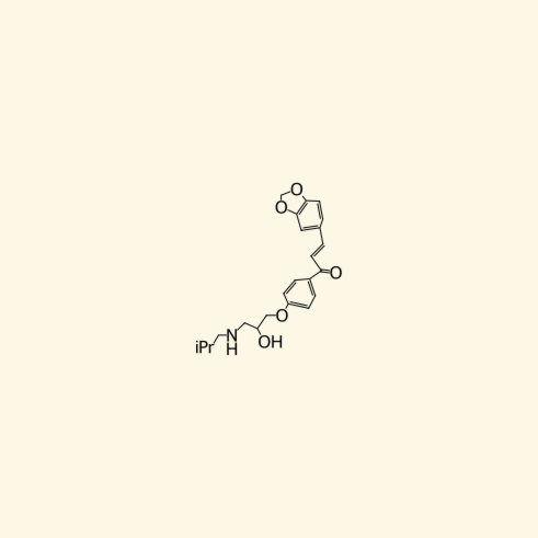 CC(C)CNCC(O)COc1ccc(C(=O)C=Cc2ccc3c(c2)OCO3)cc1